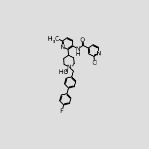 Cc1ccc(NC(=O)c2ccnc(Cl)c2)c(C2CC[N+](O)(Cc3ccc(-c4ccc(F)cc4)cc3)CC2)n1